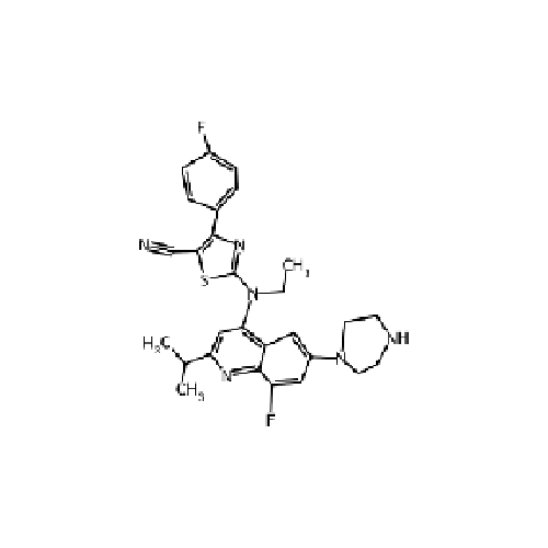 CCN(c1nc(-c2ccc(F)cc2)c(C#N)s1)c1cc(C(C)C)nc2c(F)cc(N3CCNCC3)cc12